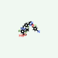 N#Cc1ccc(COc2nccc(-c3ccc(Cc4nc5c(F)cc(C(=O)O)cc5n4CC4(CF)CC4)cc3F)n2)c(F)c1